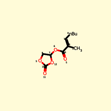 CCCCC=C(C)C(=O)OC1COC(=O)O1